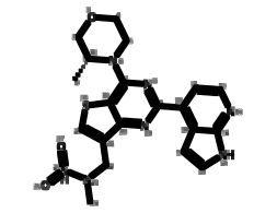 C[C@@H]1COCCN1c1nc(-c2ccnc3[nH]ccc23)nc2c(CN(C)[SH](=O)=O)csc12